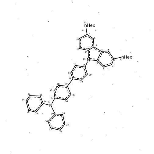 CCCCCCc1ccc2c(c1)c1cc(CCCCCC)ccc1n2-c1ccc(-c2ccc(N(c3ccccc3)c3ccccc3)cc2)cc1